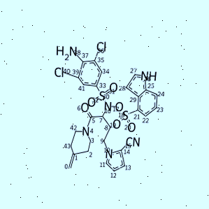 C=C1CCN(C(=O)C(CCn2cccc2C#N)N(OS(=O)(=O)c2cccc3[nH]ccc23)S(=O)(=O)c2cc(Cl)c(N)c(Cl)c2)CC1